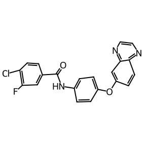 O=C(Nc1ccc(Oc2ccc3nccnc3c2)cc1)c1ccc(Cl)c(F)c1